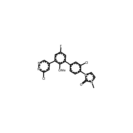 COc1c(-c2cnnc(Cl)c2)cc(F)cc1-c1ccc(-n2ccn(C)c2=O)c(Cl)c1